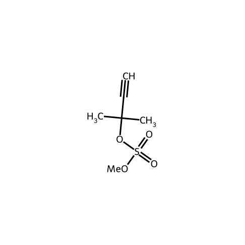 C#CC(C)(C)OS(=O)(=O)OC